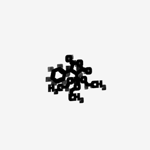 CCO[Si](OCC)(OCC)C1C(=O)OC(=O)C1c1ccccc1